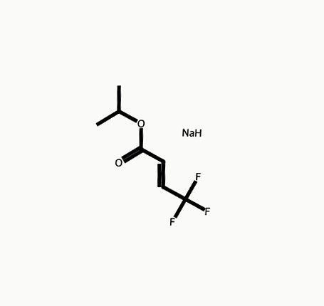 CC(C)OC(=O)C=CC(F)(F)F.[NaH]